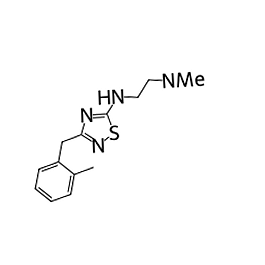 CNCCNc1nc(Cc2ccccc2C)ns1